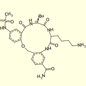 CCC(C)[C@@H]1NC(=O)c2cc(NS(C)(=O)=O)ccc2OCc2ccc(C(N)=O)cc2NC(=O)C(CCCCN)NC1=O